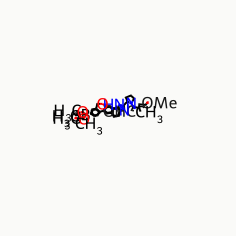 COCCC(C)[C](C=O)N1CCCC1c1nc2ccc3cc4c(cc3c2[nH]1)OCc1cc(B2OC(C)(C)C(C)(C)O2)ccc1-4